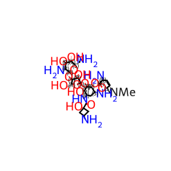 CNC[C@@H]1C=C[C@@H](N)[C@@H](O[C@H]2[C@H](O[C@@H]3O[C@H](CO)[C@@H](O[C@H]4O[C@@H](CN)[C@@H](O)[C@H](O)[C@H]4N)[C@H]3O)[C@@H](O)[C@H](NC(=O)C3(O)CC(N)C3)C[C@@H]2N)O1